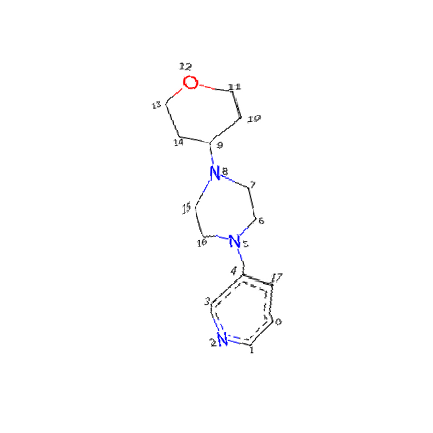 c1cncc(N2CCN(C3CCOCC3)CC2)c1